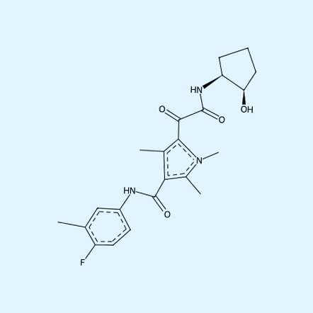 Cc1cc(NC(=O)c2c(C)c(C(=O)C(=O)N[C@H]3CCC[C@H]3O)n(C)c2C)ccc1F